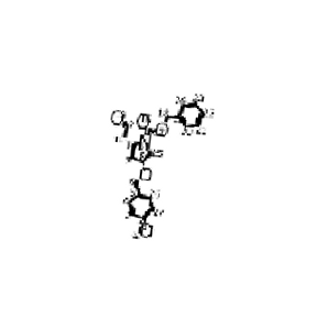 COc1ccc(CO[C@@H]2C[C@H](CC=O)N(C(=O)OCc3ccccc3)C2)cc1